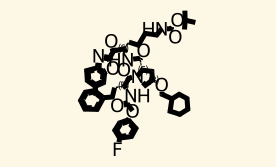 Cc1ccc2nc(C(=O)[C@H](CCCCNC(=O)OC(C)(C)C)NC(=O)[C@@H]3C[C@@H](OCC4CCCCC4)CN3C(=O)[C@@H](CCc3ccccc3)NC(=O)Oc3ccc(F)cc3)oc2c1